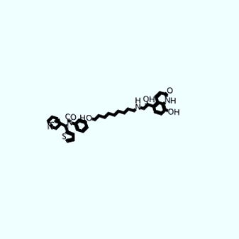 O=C(O)N(c1cccc(OCCCCCCCCCNC[C@H](O)c2ccc(O)c3[nH]c(=O)ccc23)c1)[C@@H](c1cccs1)C1CN2CCC1CC2